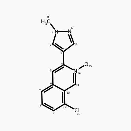 Cn1cc(-c2cc3cccc(Cl)c3c[n+]2[O-])cn1